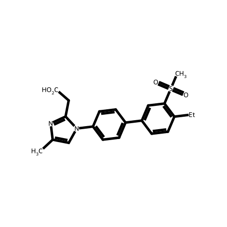 CCc1ccc(-c2ccc(-n3cc(C)nc3CC(=O)O)cc2)cc1S(C)(=O)=O